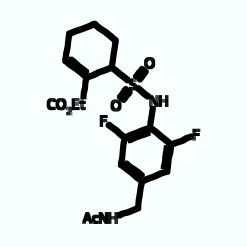 CCOC(=O)C1=CCCCC1S(=O)(=O)Nc1c(F)cc(CNC(C)=O)cc1F